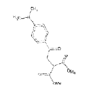 COC(=O)C(CC(=O)c1ccc(N(C)C)cc1)C(=O)OC